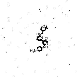 CC1(C)C[C@@H](CNc2cccc(-c3cc(N[C@H]4CC[C@H](N)CC4)ncc3Cl)n2)CCO1